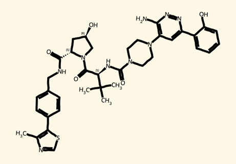 Cc1ncsc1-c1ccc(CNC(=O)[C@@H]2C[C@@H](O)CN2C(=O)[C@@H](NC(=O)N2CCN(c3cc(-c4ccccc4O)nnc3N)CC2)C(C)(C)C)cc1